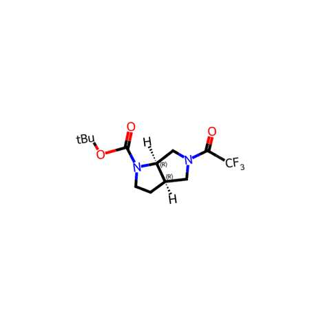 CC(C)(C)OC(=O)N1CC[C@@H]2CN(C(=O)C(F)(F)F)C[C@@H]21